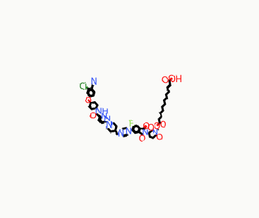 N#Cc1ccc(OC2CCC(NC(=O)c3ccc(N4CCC(CN5CCN(c6cc7c(cc6F)C(=O)N(C6CCC(=O)N(COC(=O)CCCCCCCCCCCCC(=O)O)C6=O)C7=O)CC5)CC4)nn3)CC2)cc1Cl